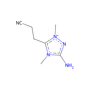 Cn1c(N)n[n+](C)c1CCC#N